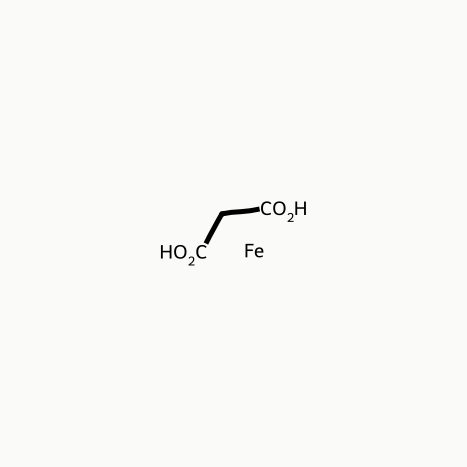 O=C(O)CC(=O)O.[Fe]